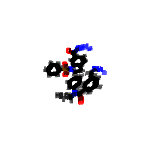 NC(=O)c1ccc2c(c1)N(S(=O)(=O)c1ccccc1)CC2.NCc1cccc(C(=O)N(CC(=O)O)c2ccccc2)c1